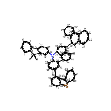 CC1(C)c2ccccc2-c2ccc(N(c3ccc(-c4cc5ccccc5c5ccccc45)cc3)c3ccc(-c4cccc5sc6ccccc6c45)cc3-c3ccccc3)cc21